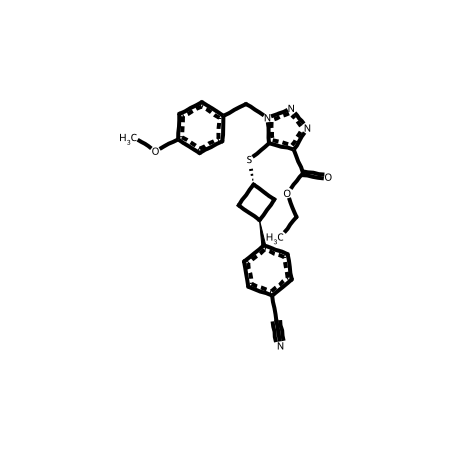 CCOC(=O)c1nnn(Cc2ccc(OC)cc2)c1S[C@H]1C[C@H](c2ccc(C#N)cc2)C1